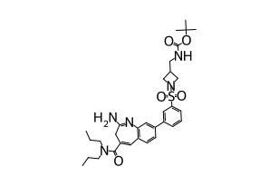 CCCN(CCC)C(=O)C1=Cc2ccc(-c3cccc(S(=O)(=O)N4CC(CNC(=O)OC(C)(C)C)C4)c3)cc2N=C(N)C1